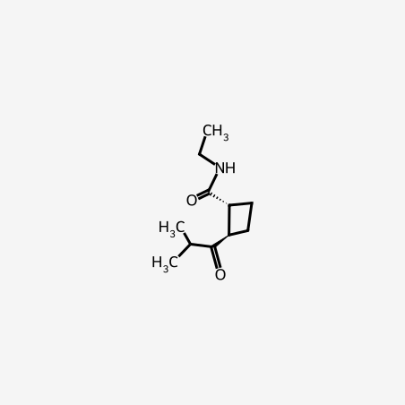 CCNC(=O)[C@@H]1CC[C@H]1C(=O)C(C)C